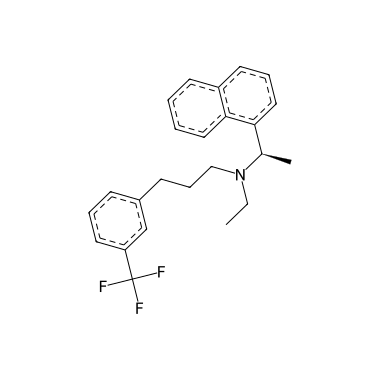 CCN(CCCc1cccc(C(F)(F)F)c1)[C@H](C)c1cccc2ccccc12